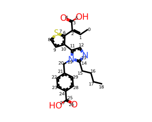 CC=C(C(=O)O)c1sccc1-c1cnc(CCCC)n1Cc1ccc(C(=O)O)cc1